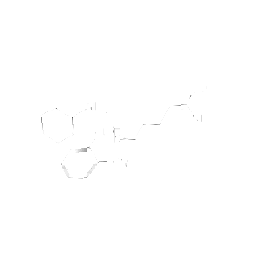 N#Cc1ccccc1C=O.NC1CCCCC1.NCCCC[C@H](N)C(=O)O